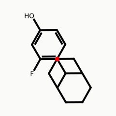 Oc1ccc(C2C3CCCC2CCC3)c(F)c1